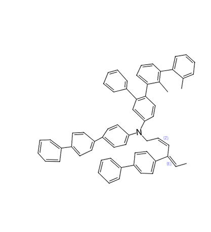 C/C=C(\C=C/CN(c1ccc(-c2ccc(-c3ccccc3)cc2)cc1)c1ccc(-c2cccc(-c3ccccc3C)c2C)c(-c2ccccc2)c1)c1ccc(-c2ccccc2)cc1